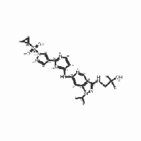 CC(C)n1nc(NCC(C)(C)O)c2cnc(Nc3ccnc(-c4cnn(S(=O)(=O)C5CC5)c4)n3)cc21